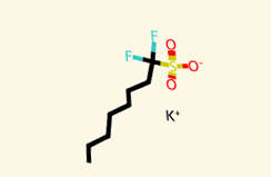 CCCCCCCC(F)(F)S(=O)(=O)[O-].[K+]